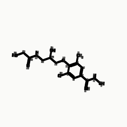 Cc1cc(C(=N)NO)cc(Cl)c1OCC(O)CNC(=O)CO